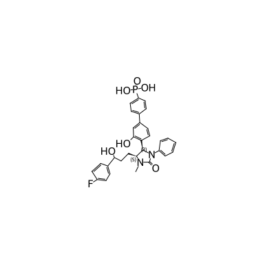 CN1C(=O)N(c2ccccc2)[C@H](c2ccc(-c3ccc(P(=O)(O)O)cc3)cc2O)[C@@H]1CCC(O)c1ccc(F)cc1